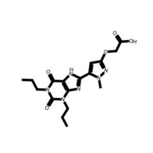 CCCn1c(=O)c2[nH]c(-c3cc(OCC(=O)O)nn3C)nc2n(CCC)c1=O